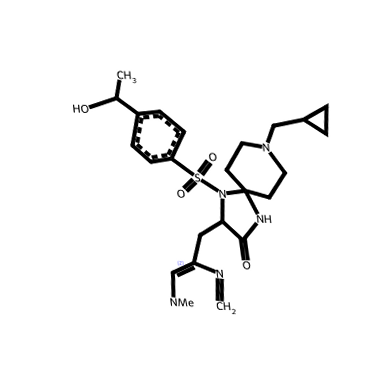 C=N/C(=C\NC)CC1C(=O)NC2(CCN(CC3CC3)CC2)N1S(=O)(=O)c1ccc(C(C)O)cc1